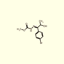 COC(=O)N/N=C(\c1ccc(Br)cc1)C(C)O